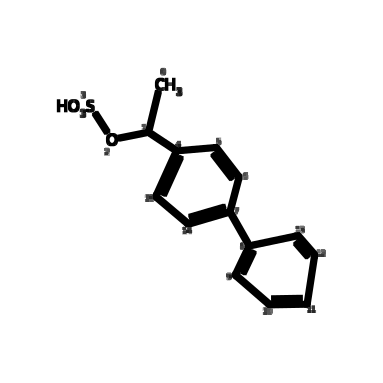 CC(OS(=O)(=O)O)c1ccc(-c2ccccc2)cc1